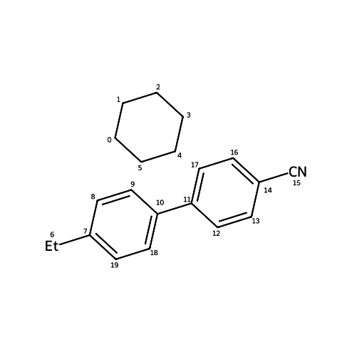 C1CCCCC1.CCc1ccc(-c2ccc(C#N)cc2)cc1